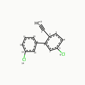 C#Cc1ccc(Cl)cc1-c1cccc(Cl)c1